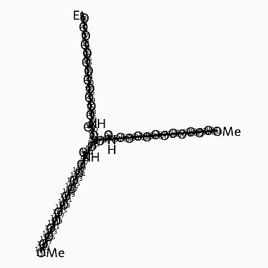 CCOCCOCCOCCOCCOCCOCCOCCOCCOCCOCCOCCOCCNC(=O)CCOCC(C)(COCCC(=O)NCCOCCOCCOCCOCCOCCOCCOCCOCCOCCOCCOCCOC)COCCC(=O)NCCOCCOCCOCCOCCOCCOCCOCCOCCOCCOCCOCCOC